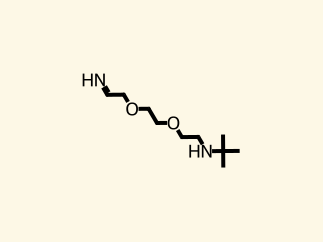 CC(C)(C)NCCOCCOCC=N